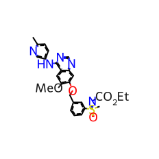 CCOC(=O)N=S(C)(=O)c1cccc(COc2cc3ncnc(Nc4ccc(C)nc4)c3cc2OC)c1